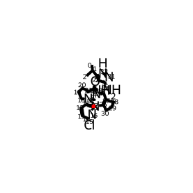 CC(C)c1cc(Nc2nc([N+]3(c4ccc(Cl)nc4)CCCC3C(N)=O)nc3c2CCC3)n[nH]1